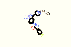 CCCCCCN1CCC(c2n[nH]c3ccc(NC(=O)c4ccc(F)cc4)cc23)CC1